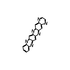 c1ccc2nc3cc4nc5cc6nccnc6cc5nc4cc3nc2c1